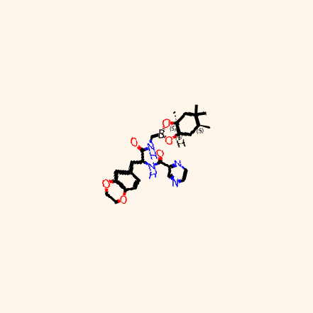 C[C@H]1C[C@H]2OB(CNC(=O)C(Cc3ccc4c(c3)OCCO4)NC(=O)c3cnccn3)O[C@@]2(C)CC1(C)C